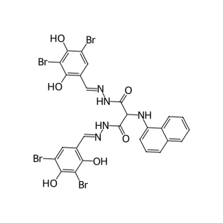 O=C(NN=Cc1cc(Br)c(O)c(Br)c1O)C(Nc1cccc2ccccc12)C(=O)NN=Cc1cc(Br)c(O)c(Br)c1O